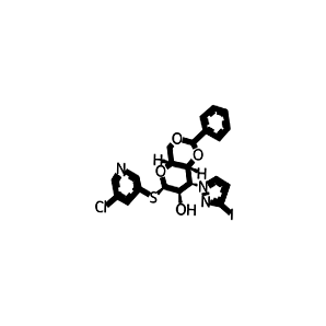 O[C@@H]1[C@@H](n2ccc(I)n2)[C@H]2OC(c3ccccc3)OC[C@H]2O[C@@H]1Sc1cncc(Cl)c1